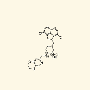 Cl.O=c1ccc2ncc(Cl)c3c2n1CC3CN1CC[C@H](NCc2cc3c(cn2)OCCO3)[C@H](O)C1